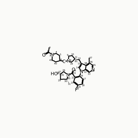 CC(=O)N1CCC(CN2CC[C@@H](Cc3cn(-c4ccc(F)cc4C(=O)N4C[C@@H](O)C[C@H]4C)c4cncc(C)c34)C2)CC1